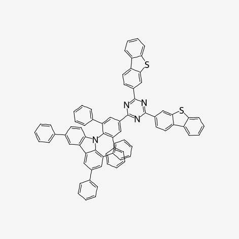 c1ccc(-c2ccc3c(c2)c2cc(-c4ccccc4)cc(-c4ccccc4)c2n3-c2c(-c3ccccc3)cc(-c3nc(-c4ccc5c(c4)sc4ccccc45)nc(-c4ccc5c(c4)sc4ccccc45)n3)cc2-c2ccccc2)cc1